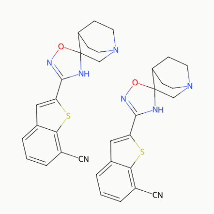 N#Cc1cccc2cc(C3=NOC4(CN5CCC4CC5)N3)sc12.N#Cc1cccc2cc(C3=NOC4(CN5CCC4CC5)N3)sc12